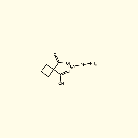 O=C(O)C1(C(=O)O)CCC1.[NH2][Pt][NH2]